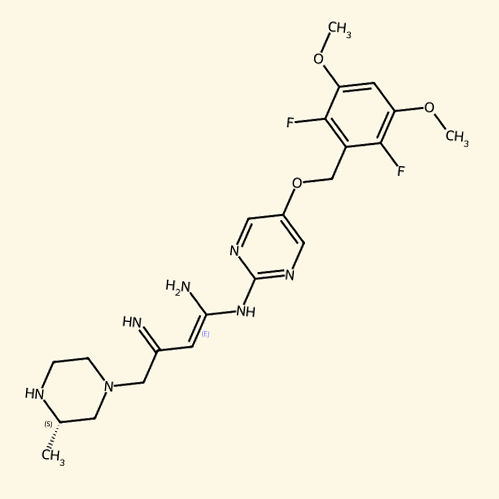 COc1cc(OC)c(F)c(COc2cnc(N/C(N)=C/C(=N)CN3CCN[C@@H](C)C3)nc2)c1F